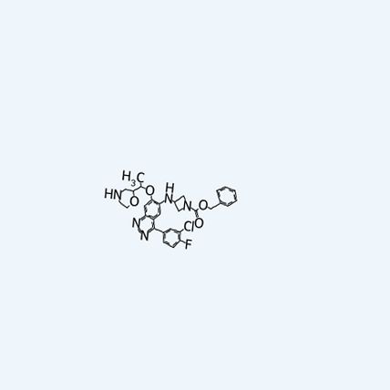 CC(Oc1cc2ncnc(-c3ccc(F)c(Cl)c3)c2cc1NC1CN(C(=O)OCc2ccccc2)C1)C1CNCCO1